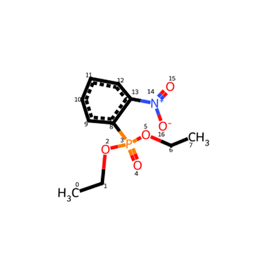 CCOP(=O)(OCC)c1ccccc1[N+](=O)[O-]